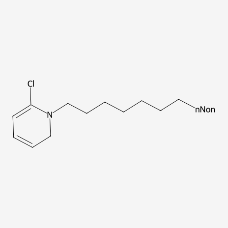 CCCCCCCCCCCCCCCCN1CC=CC=C1Cl